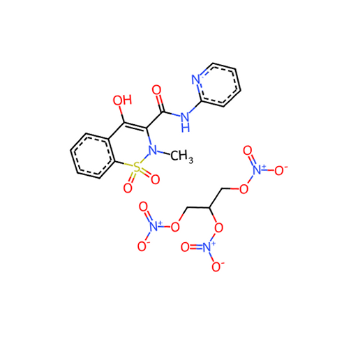 CN1C(C(=O)Nc2ccccn2)=C(O)c2ccccc2S1(=O)=O.O=[N+]([O-])OCC(CO[N+](=O)[O-])O[N+](=O)[O-]